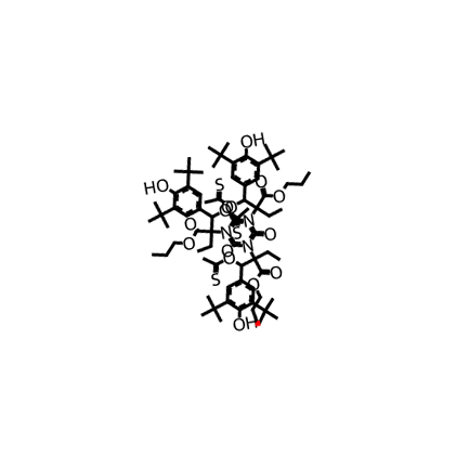 CCCOC(=O)C(CC)(C(OC(C)=S)c1cc(C(C)(C)C)c(O)c(C(C)(C)C)c1)n1c(=O)n(C(CC)(C(=O)OCCC)C(OC(C)=S)c2cc(C(C)(C)C)c(O)c(C(C)(C)C)c2)c(=O)n(C(CC)(C(=O)OCCC)C(OC(C)=S)c2cc(C(C)(C)C)c(O)c(C(C)(C)C)c2)c1=O